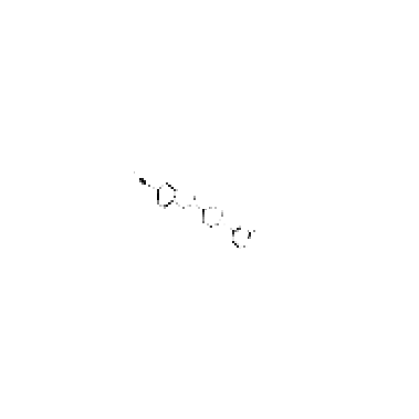 COc1nccc(N2CCC(N(C)Cc3ccc(C#N)cc3)CC2)n1